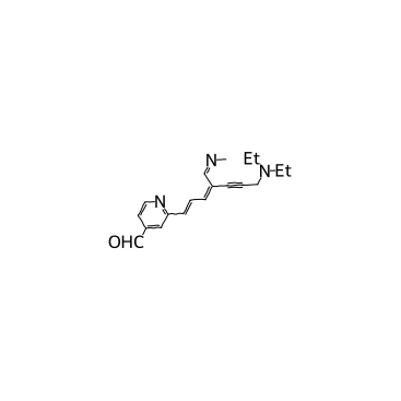 CCN(CC)CC#CC(/C=N\C)=C/C=C/c1cc(C=O)ccn1